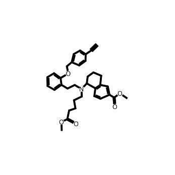 C#Cc1ccc(COc2ccccc2CCN(CCCCC(=O)OC)C2CCCc3cc(C(=O)OC)ccc32)cc1